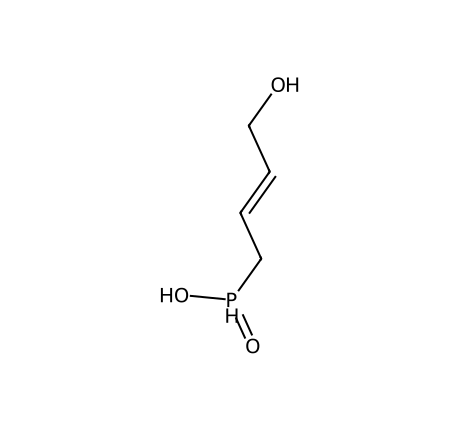 O=[PH](O)CC=CCO